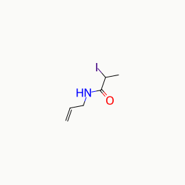 C=CCNC(=O)C(C)I